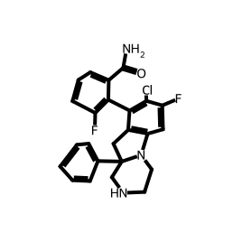 NC(=O)c1cccc(F)c1-c1c(Cl)c(F)cc2c1CC1(c3ccccc3)CNCCN21